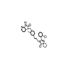 O=C1N(C/C=C/c2ccc3c(c2)C[C@@]2(C3)C(=O)Nc3ncccc32)C(c2ccccc2Cl)=NC12CCCC2